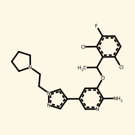 CC(Oc1cc(-c2cnn(CCN3CCCC3)c2)cnc1N)c1c(Cl)ccc(F)c1Cl